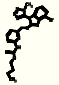 CCCCOC(=O)Nc1cccc(COc2nc3c(Br)cccc3n2-c2nnnn2C)n1